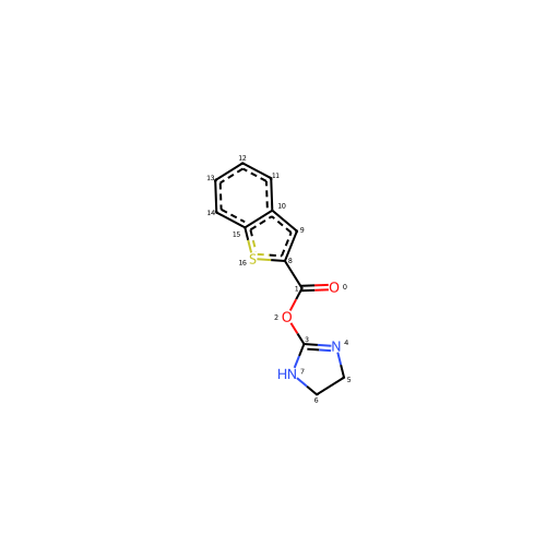 O=C(OC1=NCCN1)c1cc2ccccc2s1